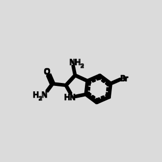 NC(=O)C1Nc2ccc(Br)cc2C1N